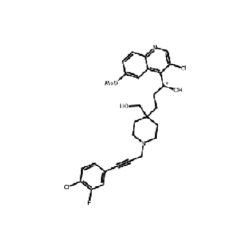 COc1ccc2ncc(Cl)c([C@@H](O)CCC3(CO)CCN(CC#Cc4ccc(Cl)c(F)c4)CC3)c2c1